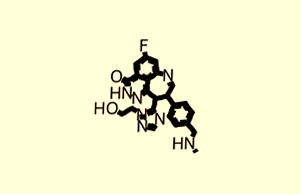 CNCc1ccc(C2C=Nc3cc(F)cc4c(=O)[nH]nc(c34)C2c2ncnn2CCO)cc1